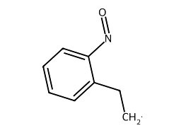 [CH2]Cc1ccccc1N=O